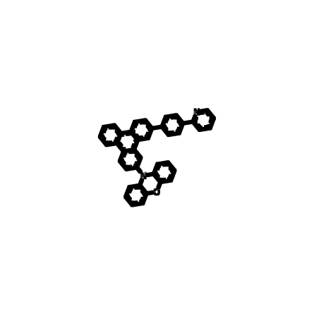 c1ccc(-c2ccc(-c3ccc4c5ccccc5c5ccc(N6c7ccccc7Oc7ccccc76)cc5c4c3)cc2)nc1